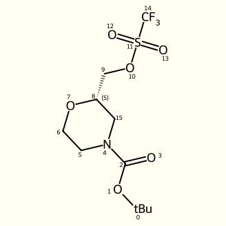 CC(C)(C)OC(=O)N1CCO[C@H](COS(=O)(=O)C(F)(F)F)C1